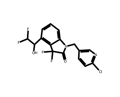 O=C1N(Cc2ccc(Cl)nc2)c2cccc(C(O)C(F)F)c2C1(F)F